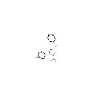 O=C(O)[C@H]1CN(Cc2ccccc2)C[C@H]1c1ccc(Cl)cc1